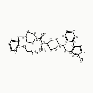 CCOc1ncccc1CN1CCN(C(=O)[C@H](N)C2CCN(CCc3cc(Cl)ccc3-c3ccccc3)CC2)CC1